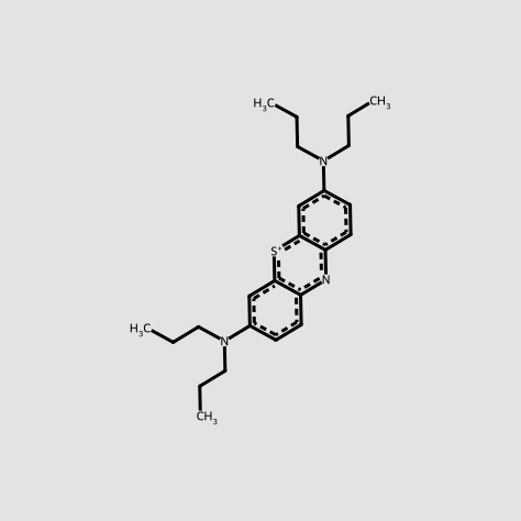 CCCN(CCC)c1ccc2nc3ccc(N(CCC)CCC)cc3[s+]c2c1